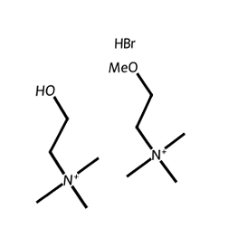 Br.COCC[N+](C)(C)C.C[N+](C)(C)CCO